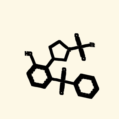 CCS(=O)(=O)N1CCC(c2c(O)cccc2S(=O)(=O)c2ccccc2)C1